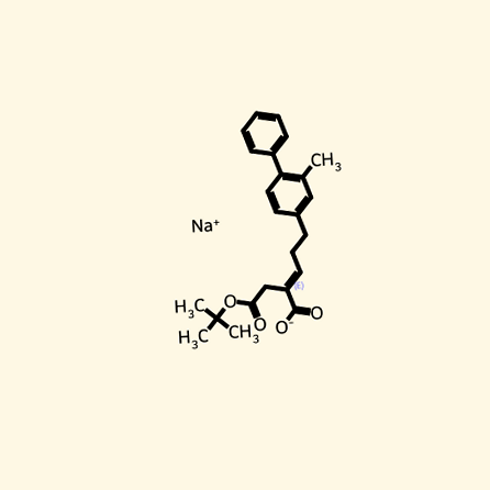 Cc1cc(CC/C=C(\CC(=O)OC(C)(C)C)C(=O)[O-])ccc1-c1ccccc1.[Na+]